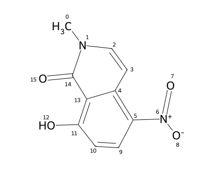 Cn1ccc2c([N+](=O)[O-])ccc(O)c2c1=O